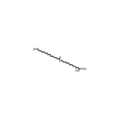 CCCCCCC(O)CCCCCCCCCCCOC(=O)CCCCCCCCCCCCCCC(C)C